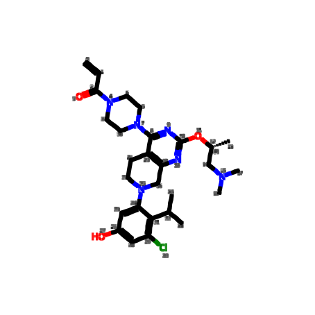 C=CC(=O)N1CCN(c2nc(O[C@H](C)CN(C)C)nc3c2CCN(c2cc(O)cc(Cl)c2C(C)C)C3)CC1